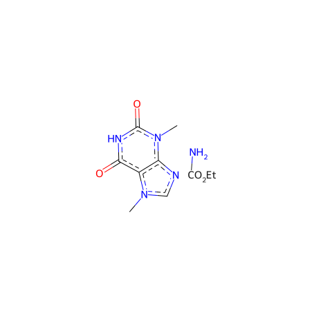 CCOC(N)=O.Cn1cnc2c1c(=O)[nH]c(=O)n2C